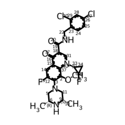 COc1c(N2C[C@@H](C)N[C@@H](C)C2)c(F)cc2c(=O)c(C(=O)NCc3ccc(Cl)cc3Cl)cn([C@H]3C[C@H]3F)c12